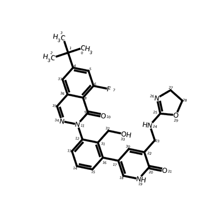 CC(C)(C)c1cc(F)c2c(=O)n(-c3cccc(-c4c[nH]c(=O)c(CNC5=NCCO5)c4)c3CO)ncc2c1